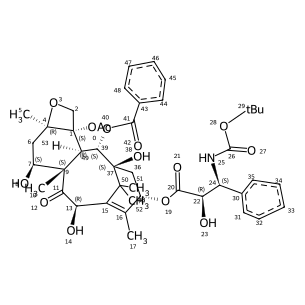 CC(=O)O[C@@]12CO[C@]1(C)C[C@H](O)[C@@]1(C)C(=O)[C@H](O)C3=C(C)[C@@H](OC(=O)[C@H](O)[C@@H](NC(=O)OC(C)(C)C)c4ccccc4)C[C@@](O)([C@@H](OC(=O)c4ccccc4)[C@@H]12)C3(C)C